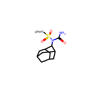 CCCCCS(=O)(=O)N(C(N)=O)C1C2CC3CC(C2)CC1C3